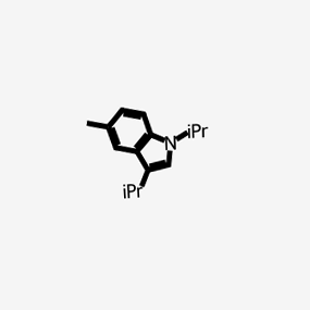 Cc1ccc2c(c1)c(C(C)C)cn2C(C)C